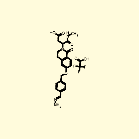 CNC(=O)C(CC(=O)O)N1CCc2cc(OCc3ccc(C=NN)cc3)ccc2C1=O.O=C(O)C(F)(F)F